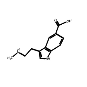 CNCCc1c[nH]c2ccc(C(=O)O)cc12